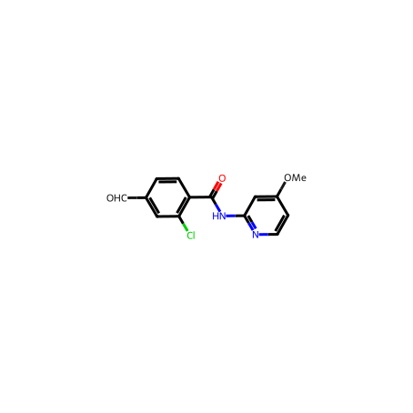 COc1ccnc(NC(=O)c2ccc(C=O)cc2Cl)c1